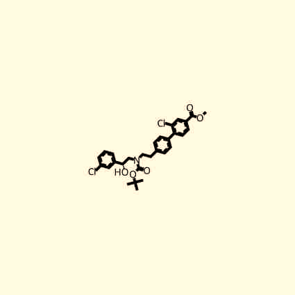 COC(=O)c1ccc(-c2ccc(CCN(C[C@H](O)c3cccc(Cl)c3)C(=O)OC(C)(C)C)cc2)c(Cl)c1